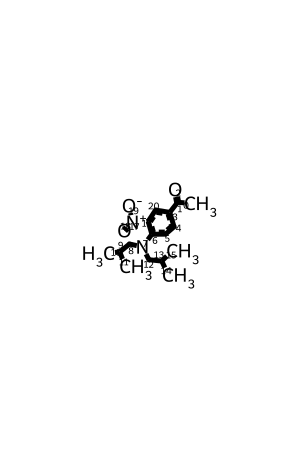 CC(=O)c1ccc(N(CC(C)C)CC(C)C)c([N+](=O)[O-])c1